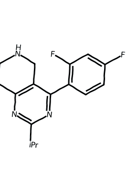 CC(C)c1nc2c(c(-c3ccc(F)cc3F)n1)CNCC2